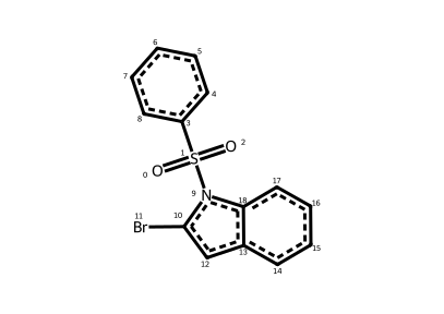 O=S(=O)(c1ccccc1)n1c(Br)cc2ccccc21